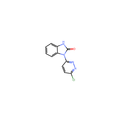 O=c1[nH]c2ccccc2n1-c1ccc(Cl)nn1